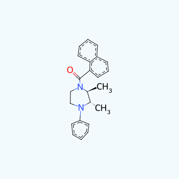 C[C@H]1[C@H](C)N(c2ccccc2)CCN1C(=O)c1cccc2ccccc12